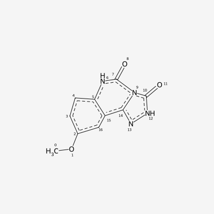 COc1ccc2[nH]c(=O)n3c(=O)[nH]nc3c2c1